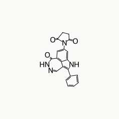 O=C1NN=Cc2c(-c3ccccc3)[nH]c3cc(N4C(=O)CCC4=O)cc1c23